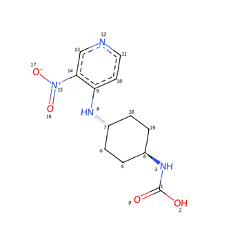 O=C(O)N[C@H]1CC[C@H](Nc2ccncc2[N+](=O)[O-])CC1